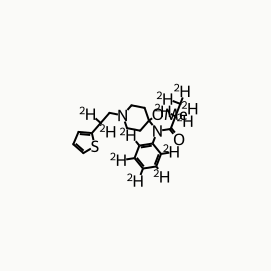 [2H]c1c([2H])c([2H])c(N(C(=O)C([2H])([2H])C([2H])([2H])[2H])C2(OC)CCN(CC([2H])([2H])c3cccs3)CC2)c([2H])c1[2H]